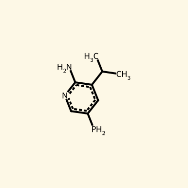 CC(C)c1cc(P)cnc1N